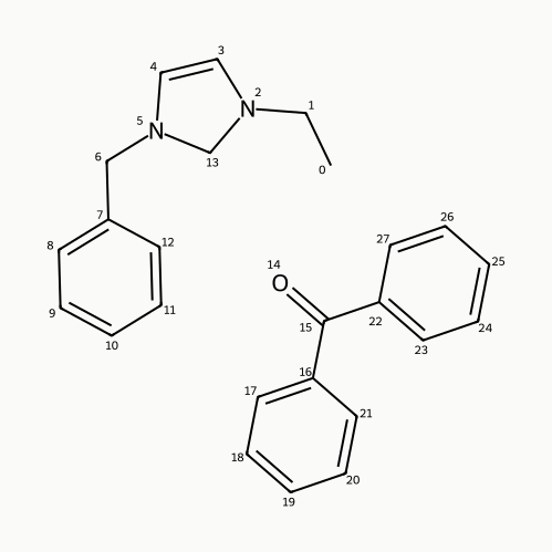 CCN1C=CN(Cc2ccccc2)C1.O=C(c1ccccc1)c1ccccc1